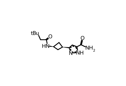 CC(C)(C)CC(=O)N[C@H]1C[C@@H](c2cc(C(N)=O)[nH]n2)C1